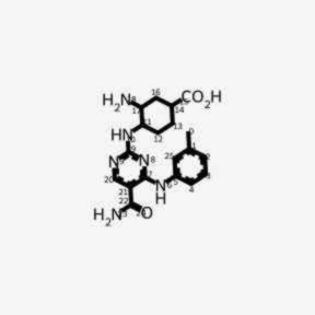 Cc1cccc(Nc2nc(NC3CCC(C(=O)O)CC3N)ncc2C(N)=O)c1